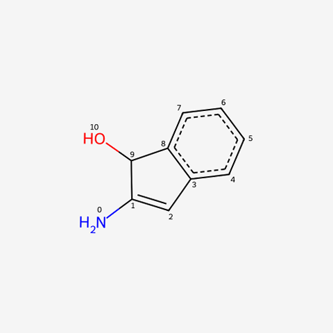 NC1=Cc2ccccc2C1O